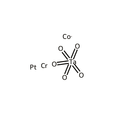 [Co].[Cr].[O]=[Ta](=[O])(=[O])(=[O])=[O].[Pt]